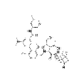 COc1c(CN2O[C@@H](CO)[C@@H]([C@H](C)O)[C@H]2C(=O)N[C@H]2C[C@H]3C[C@@H]([C@@H]2C)C3(C)C)ccc(Cl)c1-c1cc(C(=O)N[C@@H](CC(C)C)CN(C)C)cc(N(C)C)c1